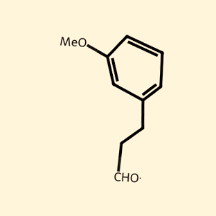 COc1cccc(CC[C]=O)c1